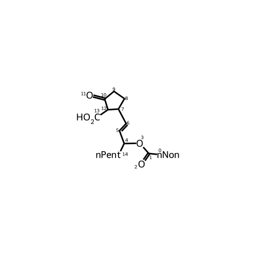 CCCCCCCCCC(=O)OC(C=CC1CCC(=O)C1C(=O)O)CCCCC